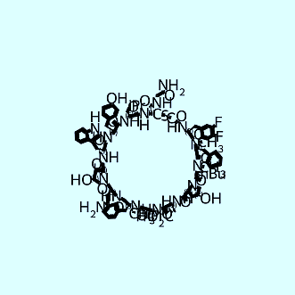 CCCC[C@H]1C(=O)N2C[C@H](O)C[C@@H]2C(=O)N[C@@H](CC(=O)O)C(=O)N[C@@H](C(C)C)C(=O)N(C)[C@@H](Cc2ccccc2)C(=O)N[C@@H](CCN)C(=O)N2C[C@H](O)C[C@@H]2C(=O)N[C@@H](Cc2c[nH]c3ccccc23)C(=O)N[C@@H](Cc2ccc(O)cc2)C(=O)N[C@@H](CC(C)C)C(=O)N[C@H](C(=O)NCC(N)=O)CSCC(=O)N[C@@H](Cc2ccc(F)c(F)c2)C(=O)N(C)[C@@H](Cc2ccccc2)C(=O)N1C